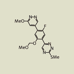 COCOc1cc(-c2cnnc(OC)c2)c(F)cc1-c1cnc(SC)nn1